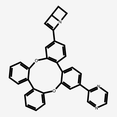 C1=C(c2ccc3c(c2)Oc2ccccc2-c2ccccc2Oc2cc(-c4cnccn4)ccc2-3)N2CCC12